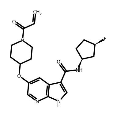 C=CC(=O)N1CCC(Oc2cnc3[nH]cc(C(=O)N[C@H]4CC[C@@H](F)C4)c3c2)CC1